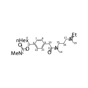 CCCCCCC(OC(=O)NC)c1ccc(CC(=O)N(C)CCCN(C)CC)cc1